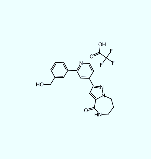 O=C(O)C(F)(F)F.O=C1NCCCn2nc(-c3ccnc(-c4cccc(CO)c4)c3)cc21